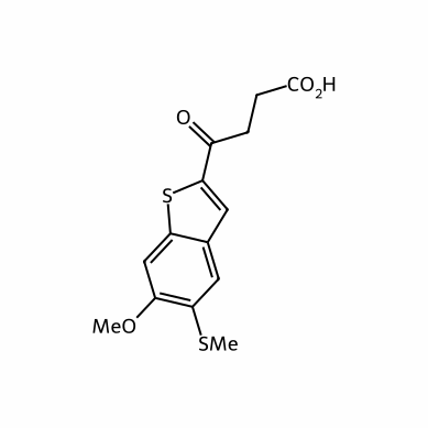 COc1cc2sc(C(=O)CCC(=O)O)cc2cc1SC